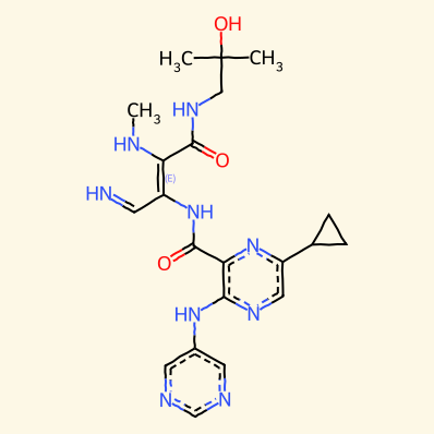 CN/C(C(=O)NCC(C)(C)O)=C(\C=N)NC(=O)c1nc(C2CC2)cnc1Nc1cncnc1